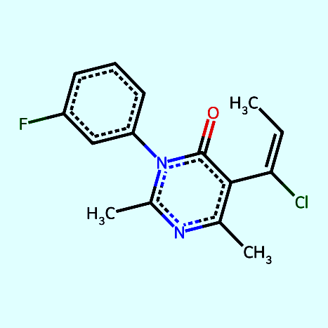 C/C=C(/Cl)c1c(C)nc(C)n(-c2cccc(F)c2)c1=O